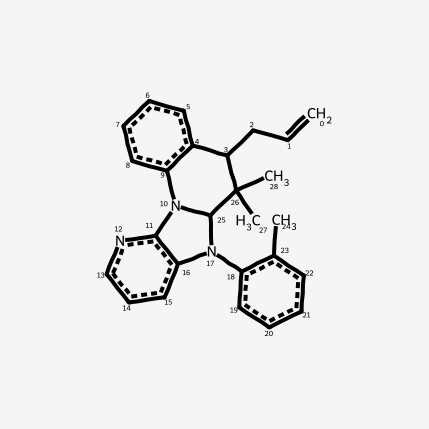 C=CCC1c2ccccc2N2c3ncccc3N(c3ccccc3C)C2C1(C)C